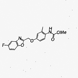 COC(=O)Nc1ccc(OCc2nc3cc(F)ccc3o2)cc1C